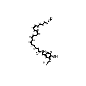 COc1cc(CNC(=O)CCC/C=C\C/C=C\C/C=C\C/C=C\CCCCN=C=S)ccc1O